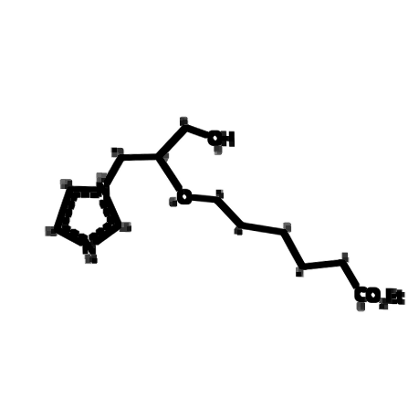 CCOC(=O)CCCCCOC(CO)Cn1ccnc1